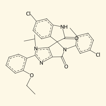 CCOc1ccccc1-c1nc2c(n1C(C)C)C1(C(=O)Nc3cc(Cl)ccc31)N(c1cc(Cl)ccc1C)C2=O